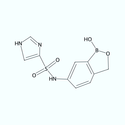 O=S(=O)(Nc1ccc2c(c1)B(O)OC2)c1c[nH]cn1